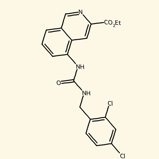 CCOC(=O)c1cc2c(NC(=O)NCc3ccc(Cl)cc3Cl)cccc2cn1